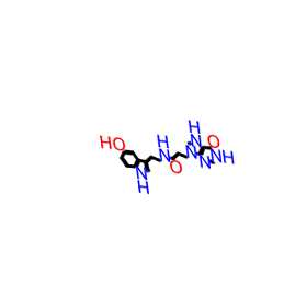 O=C(CCN1CNc2c1nc[nH]c2=O)NCCc1c[nH]c2ccc(O)cc12